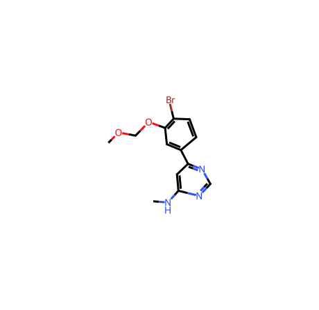 CNc1cc(-c2ccc(Br)c(OCOC)c2)ncn1